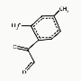 Cc1ccc(C(=O)C=O)c(C)c1